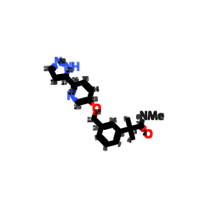 CNC(=O)C(C)(C)c1cccc(COc2ccc(-c3ccn[nH]3)nc2)c1